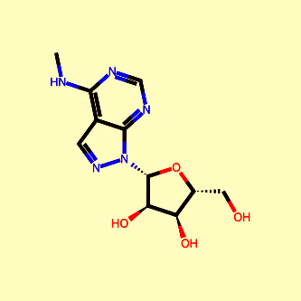 CNc1ncnc2c1cnn2[C@@H]1O[C@H](CO)[C@@H](O)[C@H]1O